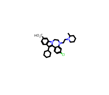 CC1CCCCN1CCN1CCn2c(c(C3CCCCC3)c3ccc(C(=O)O)cc32)-c2ccc(Cl)cc21